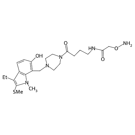 CCc1c(SC)n(C)c2c(CN3CCN(C(=O)CCCNC(=O)CON)CC3)c(O)ccc12